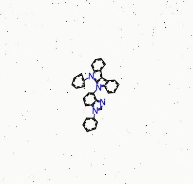 c1ccc(-n2cnc3c(-n4c5ccccc5c5c6ccccc6n(-c6ccccc6)c54)cccc32)cc1